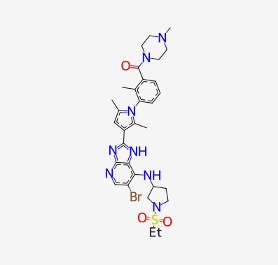 CCS(=O)(=O)N1CCC(Nc2c(Br)cnc3nc(-c4cc(C)n(-c5cccc(C(=O)N6CCN(C)CC6)c5C)c4C)[nH]c23)C1